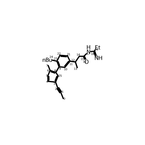 CC#Cc1ccc(C)c(-c2cc(C(C)CC(=O)NC(=N)CC)ccc2CCCC)c1